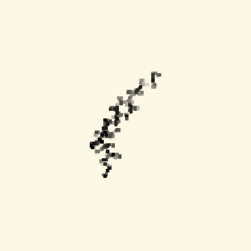 CCOC(=O)C(C)(C[C@H]1CC(c2ccc(C#CCCF)cc2)=NO1)S(C)(=O)=O